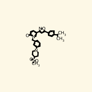 CC(C)c1ccc(-c2cc(-c3ccc(=O)n(Cc4cccc(N5CCC(S(C)(=O)=O)CC5)c4)c3)no2)cc1